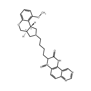 COc1cccc2c1[C@@H]1CN(CCCCC3C(=O)Nc4c(ccc5ncncc45)[N+]3=O)C[C@H]1CO2